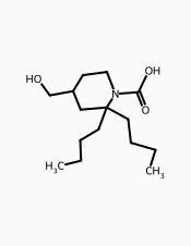 CCCCC1(CCCC)CC(CO)CCN1C(=O)O